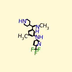 CN/C=C(\c1cc(C)cc(Nc2ccc(C(F)(F)F)nc2)c1)C1CCNCC1